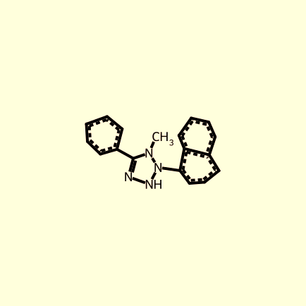 CN1C(c2ccccc2)=NNN1c1cccc2ccccc12